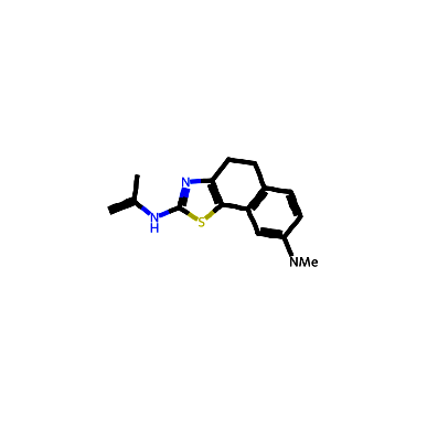 C=C(C)Nc1nc2c(s1)-c1cc(NC)ccc1CC2